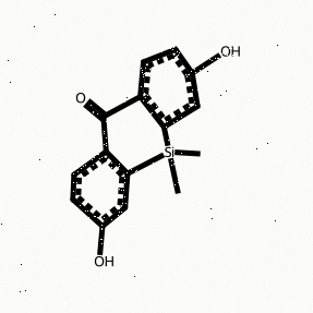 C[Si]1(C)c2cc(O)ccc2C(=O)c2ccc(O)cc21